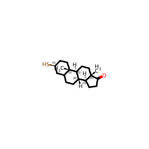 C[C@]12CC[C@H](S)CC1CC[C@@H]1[C@@H]2CC[C@]2(C)C(=O)CC[C@@H]12